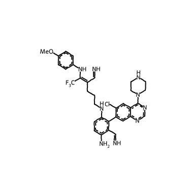 COc1ccc(N/C(=C(\C=N)CCCNc2ccc(N)c(C=N)c2-c2cc3ncnc(N4CCNCC4)c3cc2Cl)C(F)(F)F)cc1